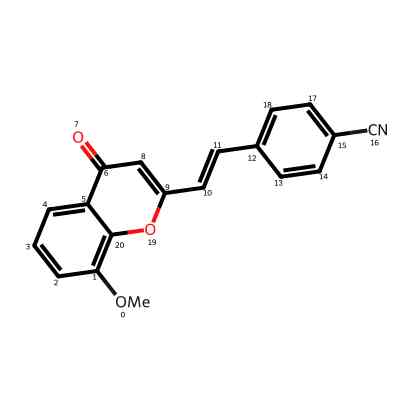 COc1cccc2c(=O)cc(/C=C/c3ccc(C#N)cc3)oc12